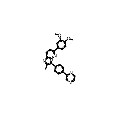 COc1ccc(-c2ccc3nc(C)c(-c4ccc(-c5cnccn5)cc4)n3n2)cc1OC